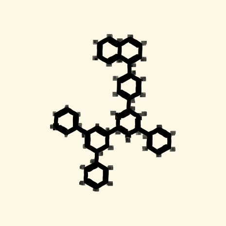 C1=C(c2cccnc2)C=C(c2nc(-c3ccccc3)nc(-c3ccc(-c4cccc5ccccc45)cc3)n2)CC1c1ccccc1